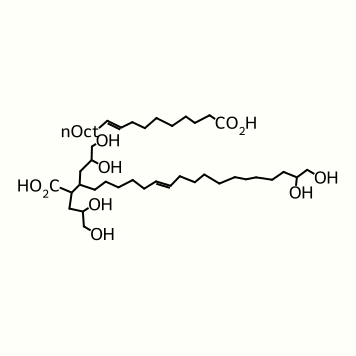 CCCCCCCCC=CCCCCCCCC(=O)O.O=C(O)C(CC(O)CO)C(CCCCCC=CCCCCCCCCCC(O)CO)CC(O)CO